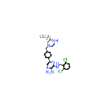 Nc1ncc(-c2ccc(CN3CCN[C@H](C(=O)O)C3)cc2)nc1NCc1c(Cl)cccc1Cl